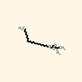 C/C=C(\C)C1OCC(COCCCCCCCCCCCC/C=C\CCCCCCCC)O1